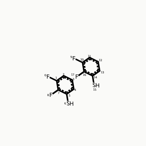 Fc1cccc(S)c1F.Fc1cccc(S)c1F